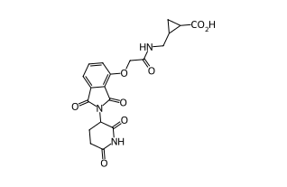 O=C(COc1cccc2c1C(=O)N(C1CCC(=O)NC1=O)C2=O)NCC1CC1C(=O)O